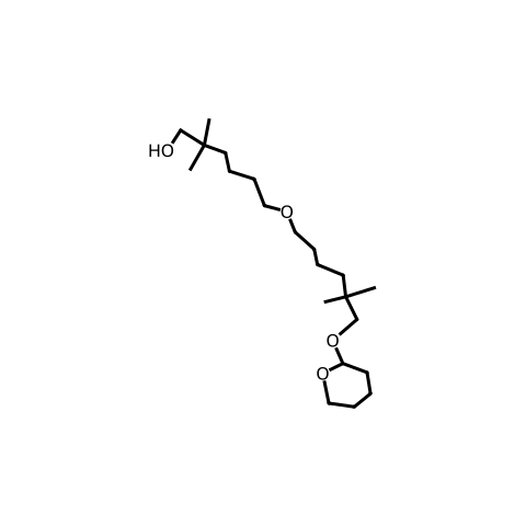 CC(C)(CO)CCCCOCCCCC(C)(C)COC1CCCCO1